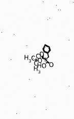 CC(C)(C)OC(=O)[C@@H](Cc1ccccc1)C(=O)O